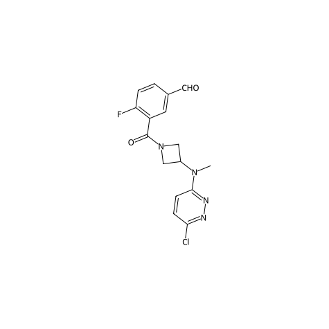 CN(c1ccc(Cl)nn1)C1CN(C(=O)c2cc(C=O)ccc2F)C1